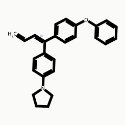 C=C/C=C(/c1ccc(Oc2ccccc2)cc1)c1ccc(N2CCCC2)cc1